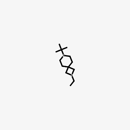 CCN1CC2(CCN(C(C)(C)C)CC2)C1